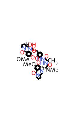 CN[C@H](C(=O)NC(C)C(=O)Nc1ccc(COC(=O)N2c3cc(OCOCOc4cc5c(cc4OC)C(=O)N4CCCC4C=N5)c(OC)cc3C(=O)N3CCC[C@H]3C2O)cc1)C(C)C